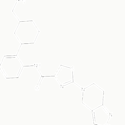 NCC1CCCC(c2ccccc2NC(=O)c2csc(N3CCc4n[nH]cc4C3)n2)C1